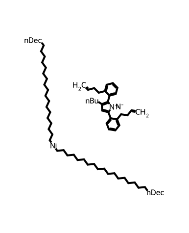 C=CCCc1ccccc1C1=CC(CCCC)=C(c2ccccc2CCC=C)[N+]1=[N-].CCCCCCCCCCCCCCCCCCCCCCCCCCC[CH2][Ni][CH2]CCCCCCCCCCCCCCCCCCCCCCCCCCC